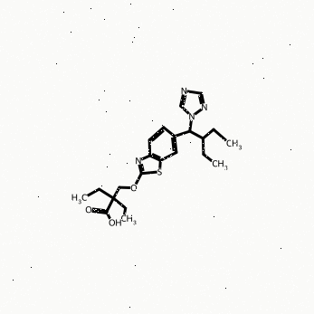 CCC(CC)C(c1ccc2nc(OCC(CC)(CC)C(=O)O)sc2c1)n1cncn1